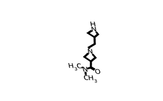 CN(C)C(=O)C1CN(CCC2CNC2)C1